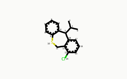 CC(C)C1c2ccccc2SCc2c(Cl)cccc21